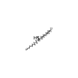 CCCCCCCCCCCC(S)CCCCCCCCCC